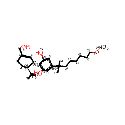 C=C(C)[C@H]1CCC(CO)=C[C@@H]1c1c(O)cc(C(C)(C)CCCCCCO[N+](=O)[O-])cc1O